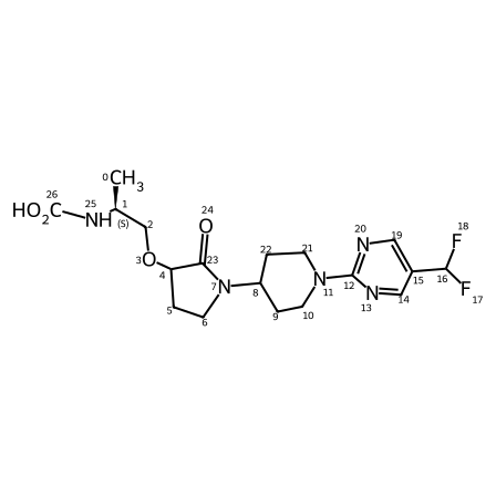 C[C@@H](COC1CCN(C2CCN(c3ncc(C(F)F)cn3)CC2)C1=O)NC(=O)O